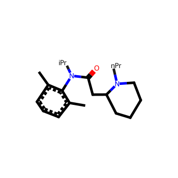 CCCN1CCCCC1CC(=O)N(c1c(C)cccc1C)C(C)C